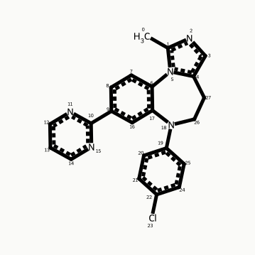 Cc1ncc2n1-c1ccc(-c3ncccn3)cc1N(c1ccc(Cl)cc1)CC2